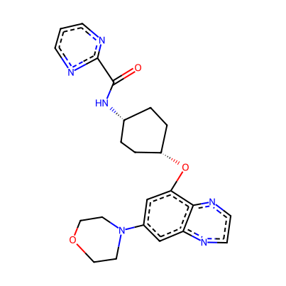 O=C(N[C@H]1CC[C@@H](Oc2cc(N3CCOCC3)cc3nccnc23)CC1)c1ncccn1